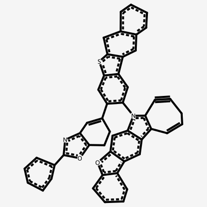 C1#Cc2c(c3cc4c(cc3n2-c2cc3c(cc2C2=Cc5nc(-c6ccccc6)oc5CC2)sc2cc5ccccc5cc23)oc2ccccc24)C=CC1